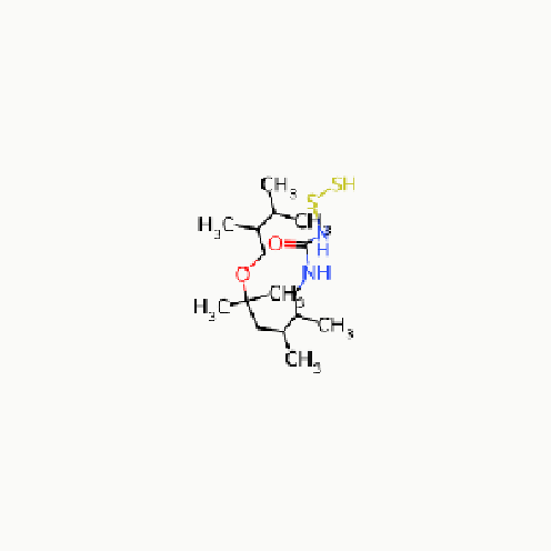 CC(C)C(C)COC(C)(C)CC(C)C(C)CNC(=O)NSS